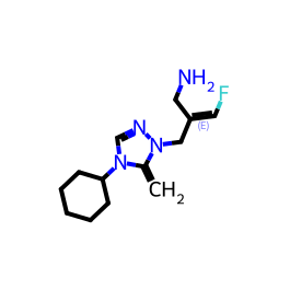 C=C1N(C/C(=C/F)CN)N=CN1C1CCCCC1